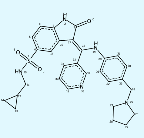 O=C1Nc2ccc(S(=O)(=O)NCC3CC3)cc2/C1=C(/Nc1ccc(CN2CCCC2)cc1)c1cccnc1